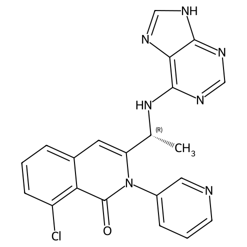 C[C@@H](Nc1ncnc2[nH]cnc12)c1cc2cccc(Cl)c2c(=O)n1-c1cccnc1